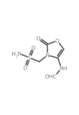 NS(=O)(=O)Cn1c(NC=O)coc1=O